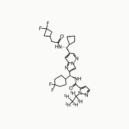 [2H]C([2H])([2H])C([2H])([2H])n1nccc1C(=O)N[C@H](c1cn2ncc([C@H](NC(=O)CC3CC(F)(F)C3)C3CCC3)cc2n1)C1CCC(F)(F)CC1